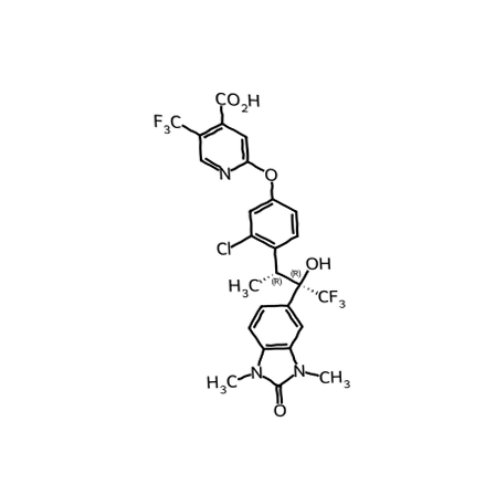 C[C@H](c1ccc(Oc2cc(C(=O)O)c(C(F)(F)F)cn2)cc1Cl)[C@@](O)(c1ccc2c(c1)n(C)c(=O)n2C)C(F)(F)F